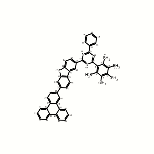 Bc1c(B)c(B)c(-c2nc(-c3ccccc3)nc(-c3ccc4sc5cc(-c6ccc7c8ccccc8c8ccccc8c7c6)ccc5c4c3)n2)c(B)c1B